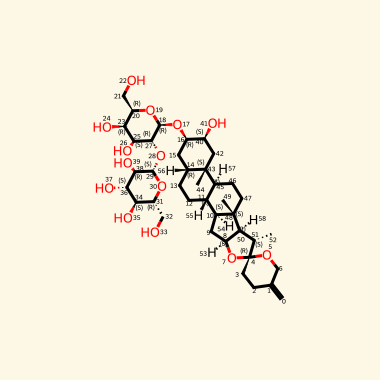 C=C1CC[C@@]2(OC1)O[C@H]1C[C@H]3[C@@H]4CC[C@@H]5C[C@@H](O[C@@H]6O[C@H](CO)[C@H](O)[C@H](O)[C@H]6O[C@@H]6O[C@H](CO)[C@@H](O)[C@H](O)[C@H]6O)[C@@H](O)C[C@]5(C)[C@H]4CC[C@]3(C)[C@H]1[C@@H]2C